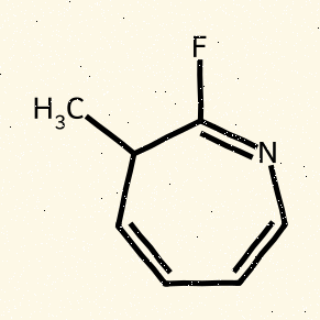 CC1C=CC=CN=C1F